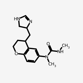 CNC(=O)N(C)c1ccc2c(c1)C(CC1CNC=N1)CCO2